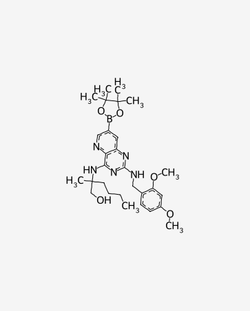 CCCCC(C)(CO)Nc1nc(NCc2ccc(OC)cc2OC)nc2cc(B3OC(C)(C)C(C)(C)O3)cnc12